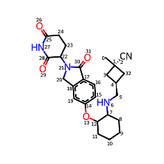 C[C@]1(C#N)C[C@H](CNC2CCCCC2Oc2ccc3c(c2)CN(C2CCC(=O)NC2=O)C3=O)C1